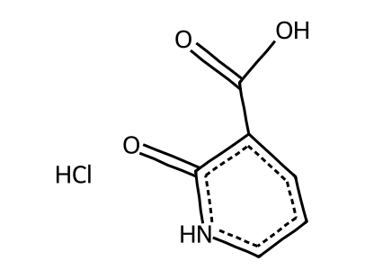 Cl.O=C(O)c1ccc[nH]c1=O